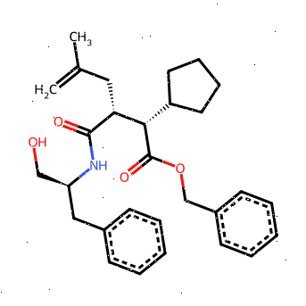 C=C(C)C[C@@H](C(=O)N[C@H](CO)Cc1ccccc1)[C@@H](C(=O)OCc1ccccc1)C1CCCC1